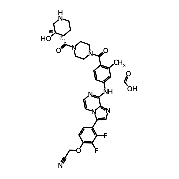 Cc1cc(Nc2nccn3c(-c4ccc(OCC#N)c(F)c4F)cnc23)ccc1C(=O)N1CCN(C(=O)[C@H]2CCNC[C@@H]2O)CC1.O=CO